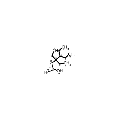 CCC(CC)C(CC)(CC)OB(O)O